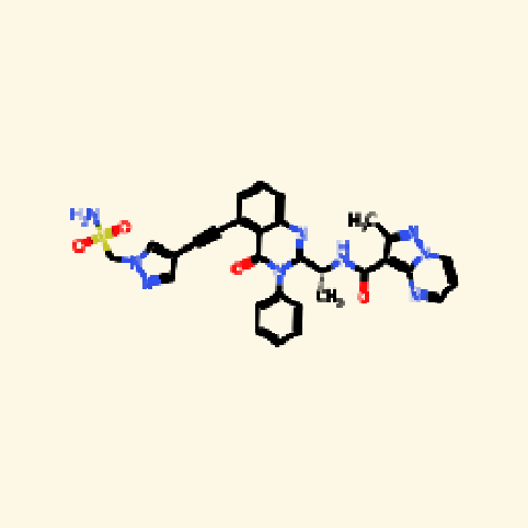 Cc1nn2cccnc2c1C(=O)N[C@H](C)c1nc2cccc(C#Cc3cnn(CS(N)(=O)=O)c3)c2c(=O)n1-c1ccccc1